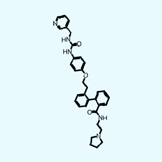 O=C(NCc1cccnc1)Nc1ccc(OCCc2ccccc2-c2ccccc2C(=O)NCCN2CCCC2)cc1